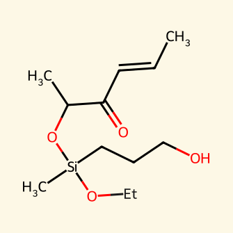 CC=CC(=O)C(C)O[Si](C)(CCCO)OCC